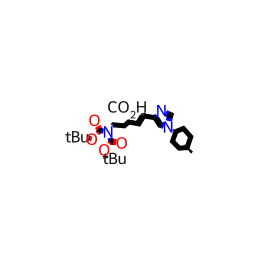 CC(C)(C)OC(=O)N(CCCC=C(C(=O)O)c1cn([C@H]2CC[C@H](C)CC2)cn1)C(=O)OC(C)(C)C